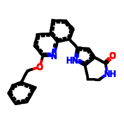 O=C1NCCc2[nH]c(-c3cccc4ccc(OCc5ccccc5)nc34)cc21